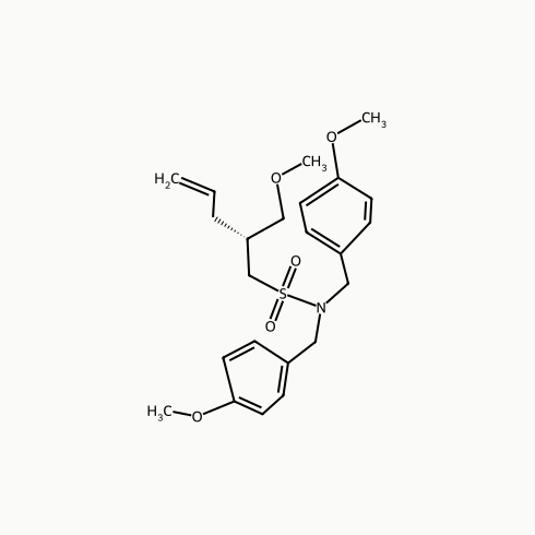 C=CC[C@H](COC)CS(=O)(=O)N(Cc1ccc(OC)cc1)Cc1ccc(OC)cc1